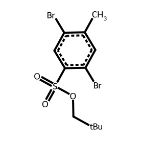 Cc1cc(Br)c(S(=O)(=O)OCC(C)(C)C)cc1Br